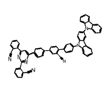 N#Cc1cc(-c2ccc(-c3cc(-c4ccccc4C#N)nc(-c4ccccc4C#N)n3)cc2)ccc1-c1ccc(-n2c3ccccc3c3cc(-n4c5ccccc5c5ccccc54)ccc32)cc1